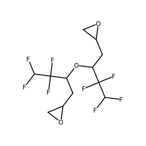 FC(F)C(F)(F)C(CC1CO1)OC(CC1CO1)C(F)(F)C(F)F